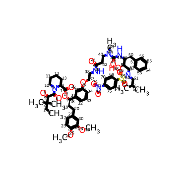 CCC(C)(C)C(=O)C(=O)N1CCCCC1C(=O)O[C@H](CCc1ccc(OC)c(OC)c1)c1cccc(OCCNC(=O)CCN(C)C(=O)N[C@@H](Cc2ccccc2)[C@H](O)CN(CC(C)C)S(=O)(=O)c2ccc([N+](=O)[O-])cc2)c1